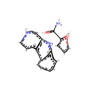 NC(=O)c1ccco1.c1ccc2c(c1)[nH]c1cnccc12